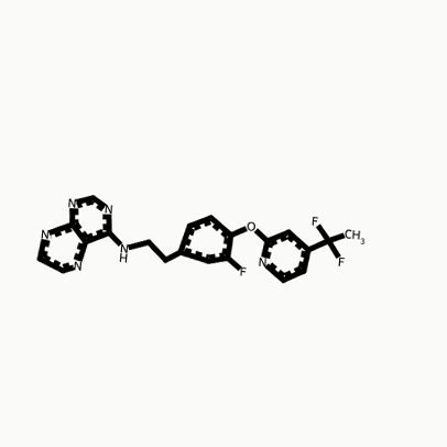 CC(F)(F)c1ccnc(Oc2ccc(CCNc3ncnc4nccnc34)cc2F)c1